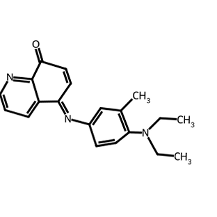 CCN(CC)c1ccc(N=C2C=CC(=O)c3ncccc32)cc1C